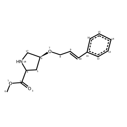 COC(=O)C1C[C@H](OC/C=C/c2ccccc2)CN1